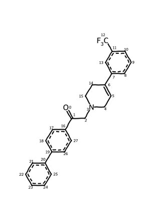 O=C(CN1CC=C(c2cccc(C(F)(F)F)c2)CC1)c1ccc(-c2ccccc2)cc1